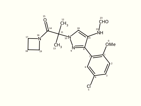 COc1ccc(Cl)cc1-c1nn(C(C)(C)C(=O)N2CCC2)cc1NC=O